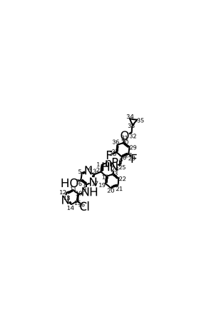 CCC/C=C(/c1ncc(O)c(Nc2ccncc2Cl)n1)c1ccccc1NCc1c(F)cc(OCC2CC2)cc1F